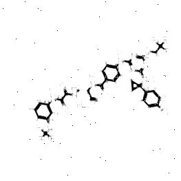 O=C(NC[C@H](NC(=O)c1ccc(Nc2nc(NC3(c4ccc(Cl)cc4)CC3)nc(OCC(F)(F)F)n2)cc1)C(=O)O)C(=O)Nc1cccc(OC(F)(F)F)c1